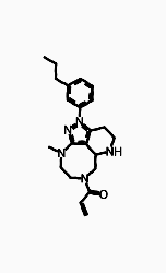 C=CC(=O)N1CCN(C)c2nn(-c3cccc(CCC)c3)c3c2C(C1)NCC3